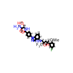 COc1ccc(F)cc1C(C)(C)CC(O)(CNc1cc(C)cc2c1cnn2-c1ccc(C(=O)N[C@@H](CO)C(N)=O)cc1)C(F)(F)F